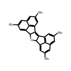 CC(C)(C)c1cc2c3c(cc(C(C)(C)C)cc3c1)C1SC3C(=C21)c1cc(C(C)(C)C)cc2cc(C(C)(C)C)cc3c12